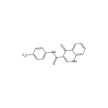 O=C(Nc1ccc(C(F)(F)F)cc1)c1c[nH]c2ccccc2c1=O